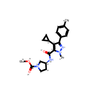 CC(C)n1nc(-c2ccc(C#N)cc2)c(C2CC2)c1C(=O)N[C@H]1CCN(C(=O)OC(C)(C)C)C1